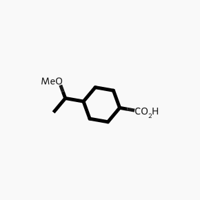 COC(C)C1CCC(C(=O)O)CC1